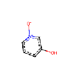 [O-][n+]1[c]c(O)ccc1